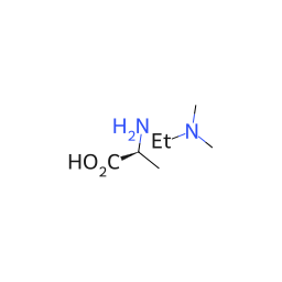 CCN(C)C.C[C@H](N)C(=O)O